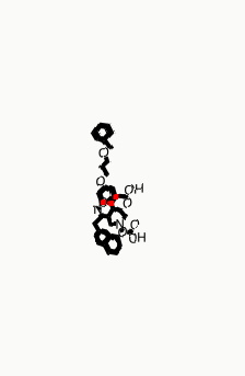 O=C(O)CCO/N=C(/Cc1ccc2ccccc2c1)C1CN(OC(=O)O)CCC1c1ccc(OCCCOCc2ccccc2)cc1